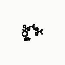 C=C(C)C(=O)OC[C@H](C)COC(=O)C1(C)CC=C(CCC)CC1